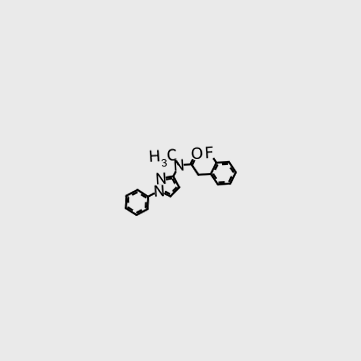 CN(C(=O)Cc1ccccc1F)c1ccn(-c2ccccc2)n1